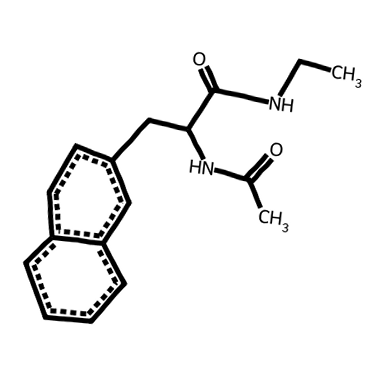 CCNC(=O)C(Cc1ccc2ccccc2c1)NC(C)=O